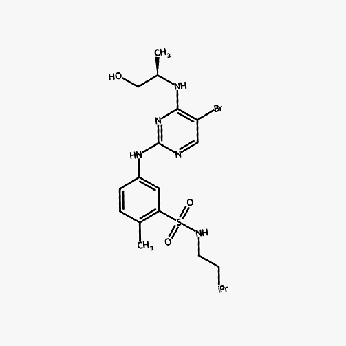 Cc1ccc(Nc2ncc(Br)c(N[C@H](C)CO)n2)cc1S(=O)(=O)NCCC(C)C